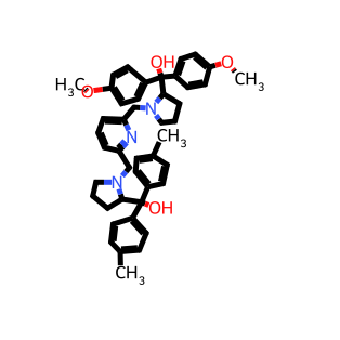 COc1ccc(C(O)(c2ccc(OC)cc2)C2CCCN2Cc2cccc(CN3CCCC3C(O)(c3ccc(C)cc3)c3ccc(C)cc3)n2)cc1